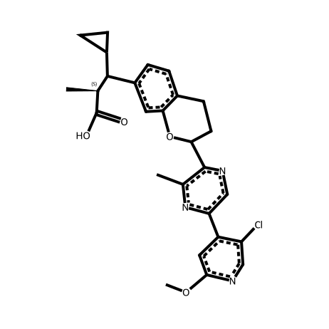 COc1cc(-c2cnc(C3CCc4ccc(C(C5CC5)[C@H](C)C(=O)O)cc4O3)c(C)n2)c(Cl)cn1